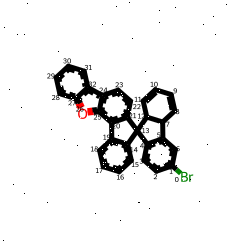 Brc1ccc2c(c1)C1C=CC=CC1C21c2ccccc2-c2c1ccc1c2oc2ccccc21